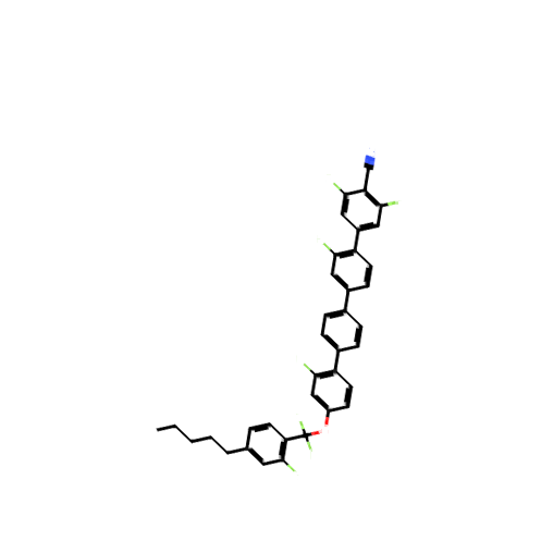 CCCCCc1ccc(C(F)(F)Oc2ccc(-c3ccc(-c4ccc(-c5cc(F)c(C#N)c(F)c5)c(F)c4)cc3)c(F)c2)c(F)c1